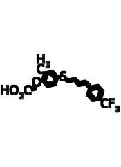 Cc1cc(SCCC=Cc2ccc(C(F)(F)F)cc2)ccc1OCC(=O)O